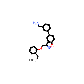 CCOC(=O)Cc1ccccc1OCc1noc2ccc(-c3cccc(CN)c3)cc12